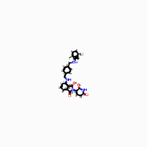 CC1(C)[C@@H]2CC[C@@]1(C)[C@@H](NCc1ccc(CNc3cccc4c3C(=O)N(C3CCC(=O)NC3=O)C4=O)cc1)C2